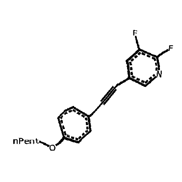 CCCCCOc1ccc(C#Cc2cnc(F)c(F)c2)cc1